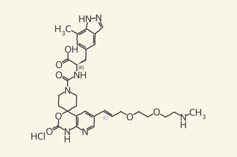 CNCCOCCOC/C=C/c1cnc2c(c1)C1(CCN(C(=O)N[C@H](Cc3cc(C)c4[nH]ncc4c3)C(=O)O)CC1)OC(=O)N2.Cl